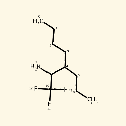 CCCCC(CCC)C(N)C(F)(F)F